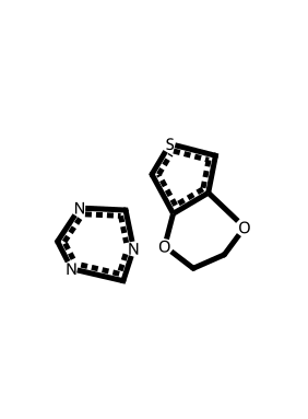 c1ncncn1.c1scc2c1OCCO2